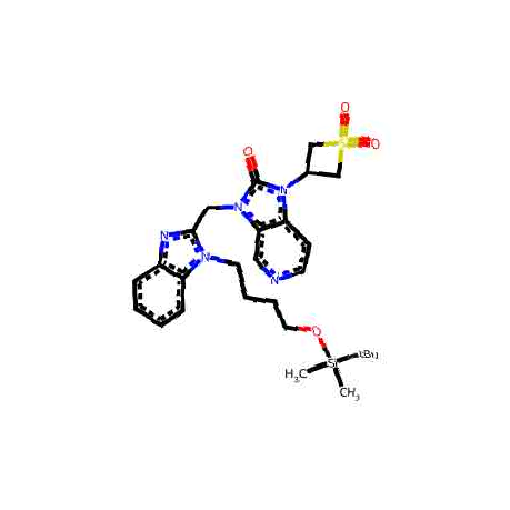 CC(C)(C)[Si](C)(C)OCCCCn1c(Cn2c(=O)n(C3CS(=O)(=O)C3)c3ccncc32)nc2ccccc21